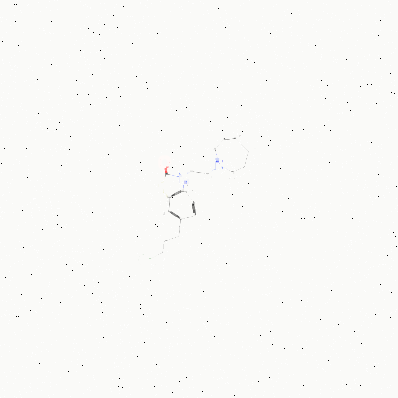 O=c1sc2cc(CCCCl)ccc2n1CCN1CCCCCC1